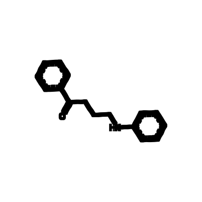 O=C(CCCNc1ccccc1)c1ccccc1